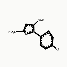 COc1cc(C(=O)O)nn1-c1ccc(Cl)cc1